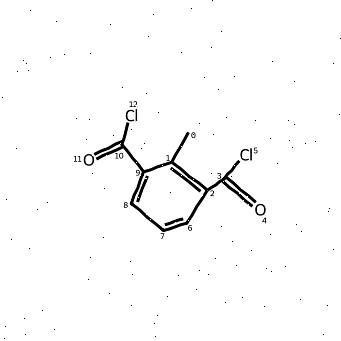 Cc1c(C(=O)Cl)cccc1C(=O)Cl